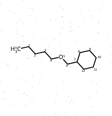 CCCCCO[CH]C1CCCCC1